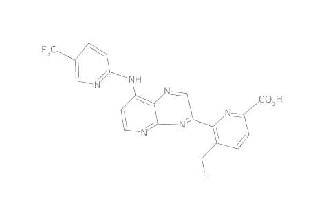 O=C(O)c1ccc(CF)c(-c2cnc3c(Nc4ccc(C(F)(F)F)cn4)ccnc3n2)n1